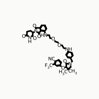 CC1(C)CN(Cc2ccc(NCCOCCOCCNc3cccc4c3C(=O)N(C3CCC(=O)NC3=O)C4=O)cc2)C(=O)C1Oc1ccc(C#N)c(C(F)(F)F)c1